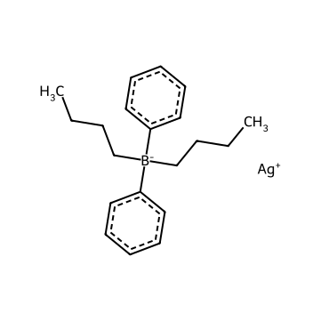 CCCC[B-](CCCC)(c1ccccc1)c1ccccc1.[Ag+]